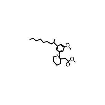 CCCCCCCC(C)c1cc(OC)cc(N2CCCCC2CC(=O)OC)c1